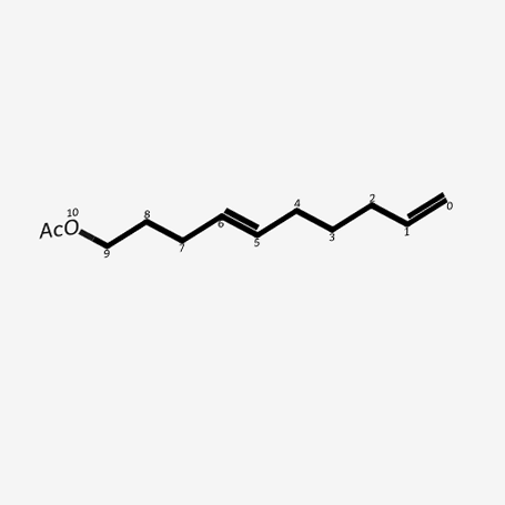 C=CCCC/C=C/CCCOC(C)=O